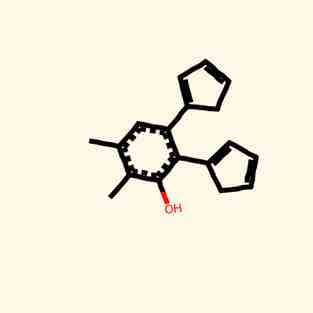 Cc1cc(C2=CC=CC2)c(C2=CC=CC2)c(O)c1C